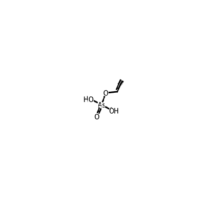 C=CO[As](=O)(O)O